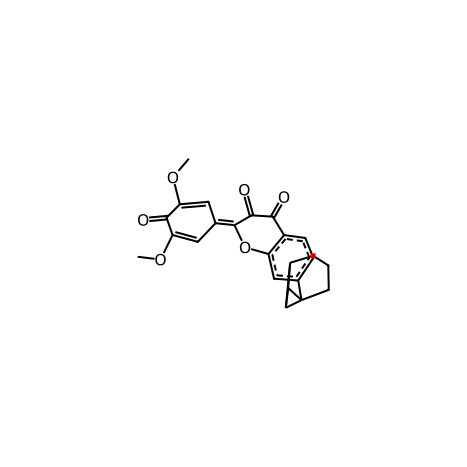 COC1=CC(=C2Oc3cc(C45CCCC6C4C65)ccc3C(=O)C2=O)C=C(OC)C1=O